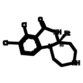 CC[C@]12CCNCCN1c1ccc(Cl)c(Cl)c1C(=O)N2